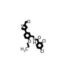 CCCOc1ccc(-c2csc(C=O)c2)cc1CNC(=O)c1ccc(Cl)cc1Cl